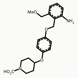 COCc1cccc(N)c1COc1ccc(OC2CCN(C(=O)O)CC2)cc1